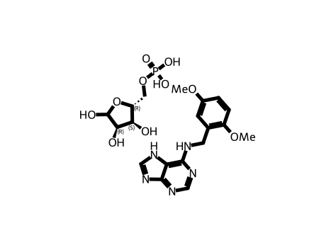 COc1ccc(OC)c(CNc2ncnc3nc[nH]c23)c1.O=P(O)(O)OC[C@H]1OC(O)[C@H](O)[C@@H]1O